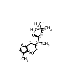 Cc1csc2c1OCC(N(C)C(=O)OC(C)(C)C)C2